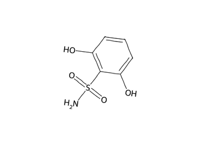 NS(=O)(=O)c1c(O)cccc1O